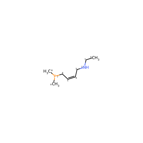 CCNC/C=C\CP(C)C